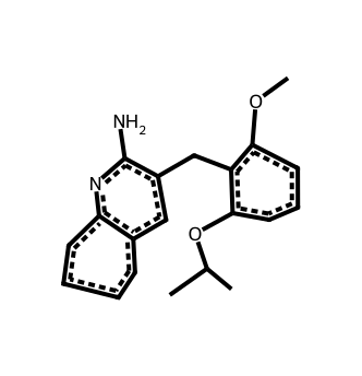 COc1cccc(OC(C)C)c1Cc1cc2ccccc2nc1N